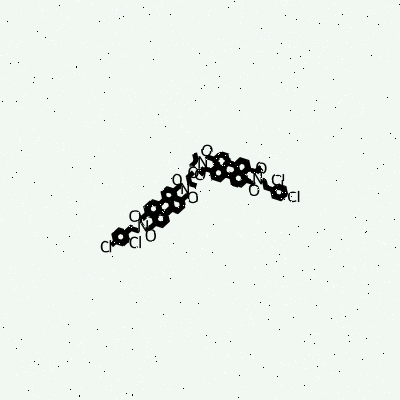 CC(COCC(C)N1C(=O)c2ccc3c4ccc5c6c(ccc(c7ccc(c2c37)C1=O)c64)C(=O)N(CCc1ccc(Cl)cc1Cl)C5=O)N1C(=O)c2ccc3c4ccc5c6c(ccc(c7ccc(c2c37)C1=O)c64)C(=O)N(CCc1ccc(Cl)cc1Cl)C5=O